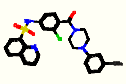 COc1cccc(N2CCN(C(=O)c3ccc(NS(=O)(=O)c4cccc5cccnc45)cc3Cl)CC2)c1